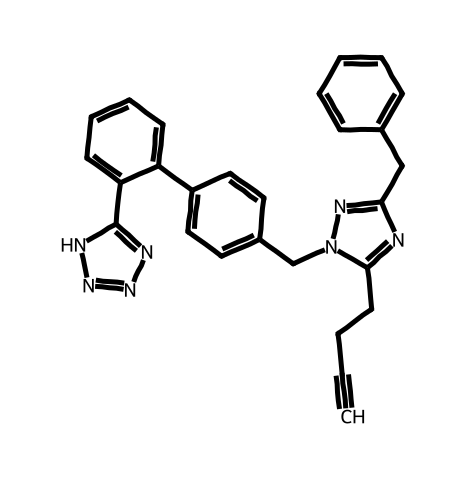 C#CCCc1nc(Cc2ccccc2)nn1Cc1ccc(-c2ccccc2-c2nnn[nH]2)cc1